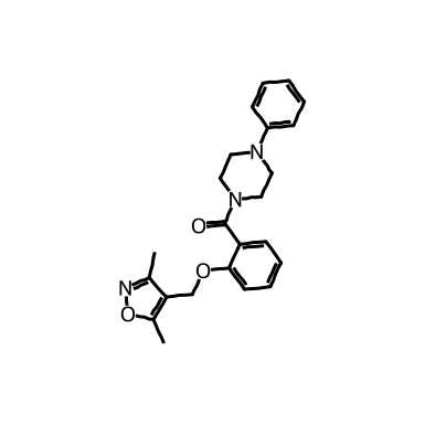 Cc1noc(C)c1COc1ccccc1C(=O)N1CCN(c2ccccc2)CC1